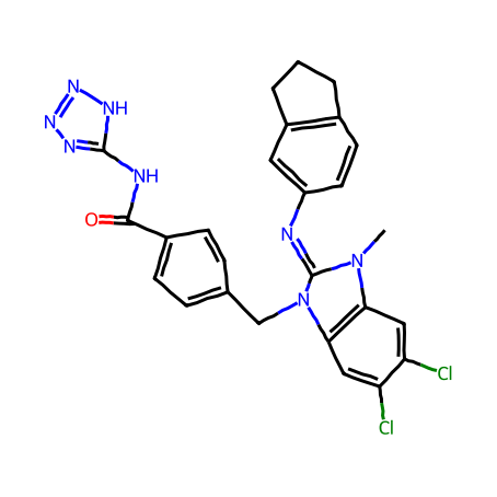 Cn1c(=Nc2ccc3c(c2)CCC3)n(Cc2ccc(C(=O)Nc3nnn[nH]3)cc2)c2cc(Cl)c(Cl)cc21